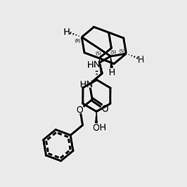 O=C(NC[C@]12CC3C[C@H](C1)[C@@H](N[C@H]1CC[C@H](O)CC1)[C@@H](C3)C2)OCc1ccccc1